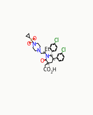 CC[C@@H](CN1CCN(S(=O)(=O)C2CC2)CC1)N1C(=O)[C@](C)(CC(=O)O)C[C@H](c2cccc(Cl)c2)[C@H]1c1ccc(Cl)cc1